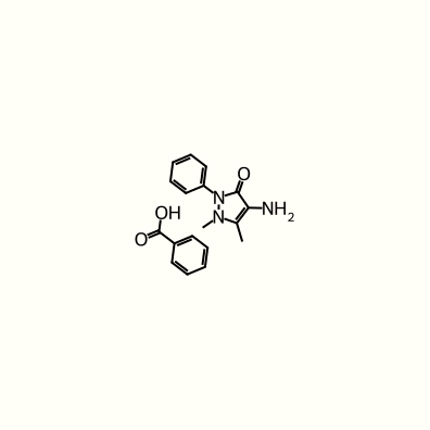 Cc1c(N)c(=O)n(-c2ccccc2)n1C.O=C(O)c1ccccc1